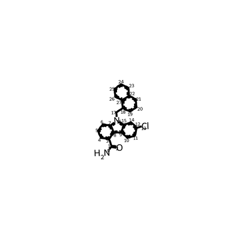 NC(=O)c1cccc2c1c1[c]cc(Cl)cc1n2Cc1cccc2ccccc12